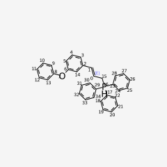 C(=C\c1cccc(Oc2ccccc2)c1)/C[PH](c1ccccc1)(c1ccccc1)c1ccccc1